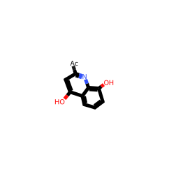 CC(=O)c1cc(O)c2cccc(O)c2n1